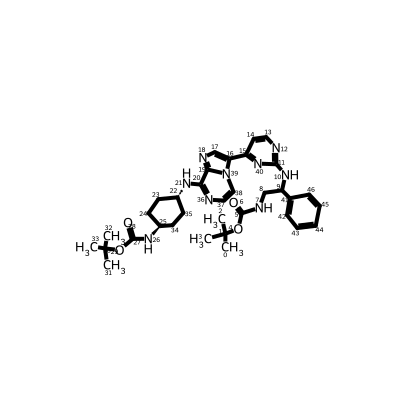 CC(C)(C)OC(=O)NCC(Nc1nccc(-c2cnc3c(N[C@H]4CC[C@H](NC(=O)OC(C)(C)C)CC4)nccn23)n1)c1ccccc1